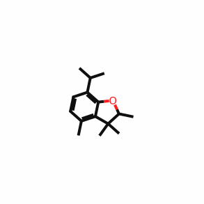 Cc1ccc(C(C)C)c2c1C(C)(C)C(C)O2